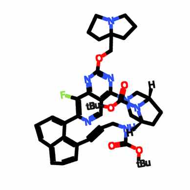 CC(C)(C)OC(=O)NCC#Cc1cccc2cccc(-c3ncc4c(N5C[C@H]6CC[C@@H](C5)N6C(=O)OC(C)(C)C)nc(OCC56CCCN5CCC6)nc4c3F)c12